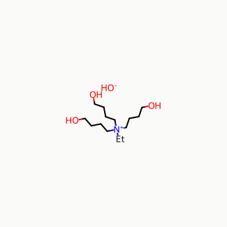 CC[N+](CCCCO)(CCCCO)CCCCO.[OH-]